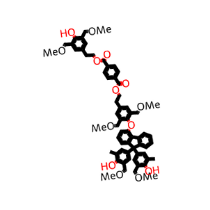 COCc1cc(C2(c3cc(C)c(O)c(COC)c3)c3ccccc3-c3c(Oc4c(COC)cc(CCOC(=O)c5ccc(C(=O)OCCc6cc(COC)c(O)c(COC)c6)cc5)cc4COC)cccc32)cc(C)c1O